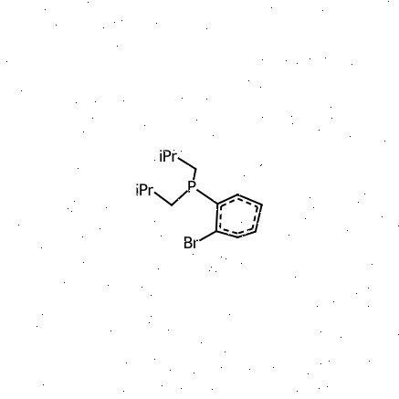 CC(C)CP(CC(C)C)c1ccccc1Br